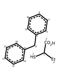 CCC(S)C(=O)O.c1ccc(Cc2ccccc2)cc1